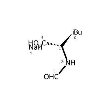 CC[C@H](C)[C@H](NC=O)C(=O)O.[NaH]